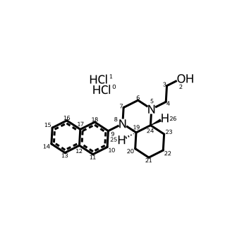 Cl.Cl.OCCN1CCN(c2ccc3ccccc3c2)[C@@H]2CCCC[C@H]21